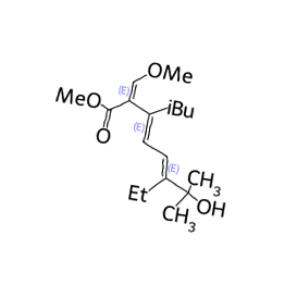 CC\C(=C/C=C(/C(=C\OC)C(=O)OC)C(C)CC)C(C)(C)O